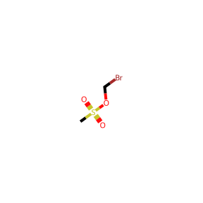 CS(=O)(=O)OCBr